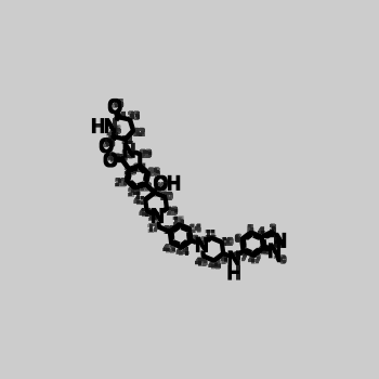 Cn1ncc2ccc(NC3CCN(c4ccc(CN5CCC(O)(c6ccc7c(c6)CN(C6CCC(=O)NC6=O)C7=O)CC5)cc4)CC3)cc21